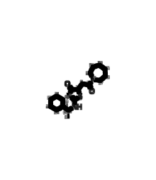 C[C@@H](NC1=NC(=O)C(CC(=O)N2CCCCCC2)S1)C1CCCCC1